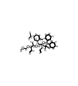 C=CC[C@@H](C[C@@H]1C(C)=CC[C@@H](C(C)C)[C@H]1C[C@@H](O)[C@@H](C=C)OCOC)O[Si](c1ccccc1)(c1ccccc1)C(C)(C)C